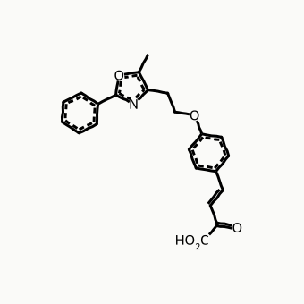 Cc1oc(-c2ccccc2)nc1CCOc1ccc(C=CC(=O)C(=O)O)cc1